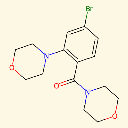 O=C(c1ccc(Br)cc1N1CCOCC1)N1CCOCC1